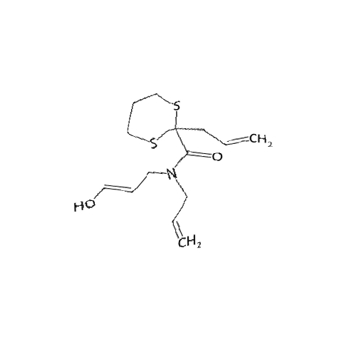 C=CCN(CC=CO)C(=O)C1(CC=C)SCCCS1